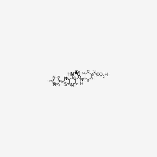 CC(C)Nc1c(C(=O)NC2CCC(CC(=O)O)CC2)cnc2sc(-c3cccnc3)nc12